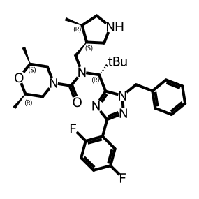 C[C@@H]1CN(C(=O)N(C[C@@H]2CNC[C@@H]2C)[C@@H](c2nc(-c3cc(F)ccc3F)nn2Cc2ccccc2)C(C)(C)C)C[C@H](C)O1